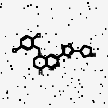 Clc1ccc(Cl)c(CN2CCNc3nnc(-c4noc(C5CCNC5)n4)cc32)c1